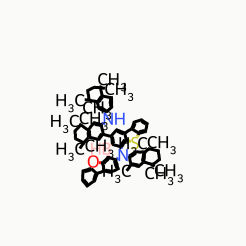 Cc1cc2c(cc1N1c3ccc4c(oc5ccccc54)c3Bc3c(-c4cc5c(cc4Nc4ccc6c(c4)C(C)(C)CCC6(C)C)C(C)(C)CCC5(C)C)cc4c(sc5ccccc54)c31)C(C)(C)CCC2(C)C